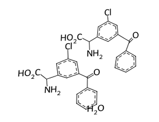 NC(C(=O)O)c1cc(Cl)cc(C(=O)c2ccccc2)c1.NC(C(=O)O)c1cc(Cl)cc(C(=O)c2ccccc2)c1.O